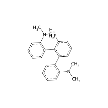 CN(C)c1ccccc1-c1cccc(P)c1-c1ccccc1N(C)C